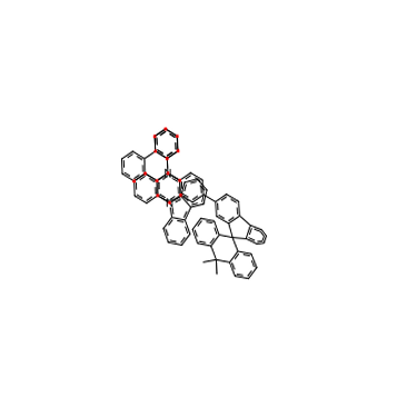 CC1(C)c2ccccc2C2(c3ccccc3-c3ccc(-c4ccc(N(c5ccccc5-c5ccccc5-c5ccccc5-c5ccccc5)c5ccccc5-n5c6ccccc6c6ccccc65)cc4)cc32)c2ccccc21